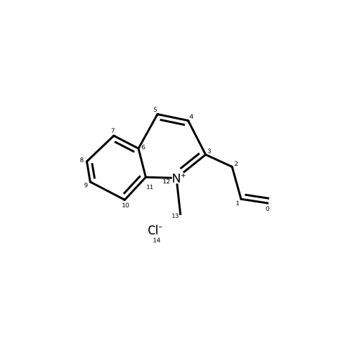 C=CCc1ccc2ccccc2[n+]1C.[Cl-]